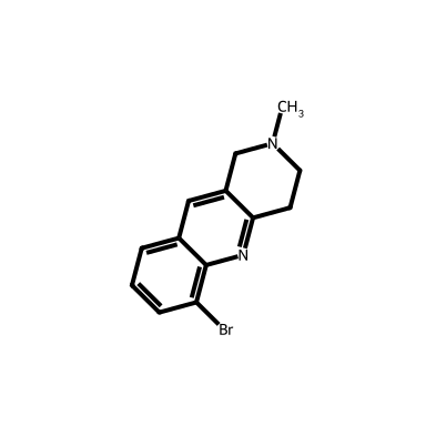 CN1CCc2nc3c(Br)cccc3cc2C1